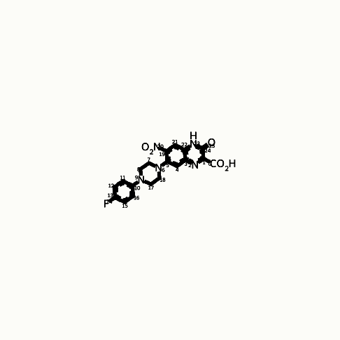 O=C(O)c1nc2cc(N3CCN(c4ccc(F)cc4)CC3)c([N+](=O)[O-])cc2[nH]c1=O